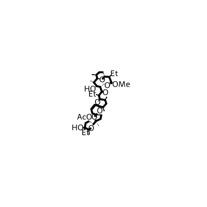 CC[C@@H](C(=O)[C@@H](C)[C@@H](O)[C@H](C)[C@@H]1O[C@@H]([C@@H](CC)C(=O)OC)CC[C@@H]1C)[C@H]1O[C@]2(C=C[C@@H](OC(C)=O)[C@]3(CC[C@@](C)([C@H]4CC[C@](O)(CC)[C@H](C)O4)O3)O2)[C@H](C)C[C@@H]1C